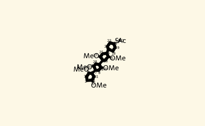 COc1ccc(OC)c(-c2cc(OC)c(-c3cc(OC)c(-c4ccc(SC(C)=O)cc4)cc3OC)cc2OC)c1